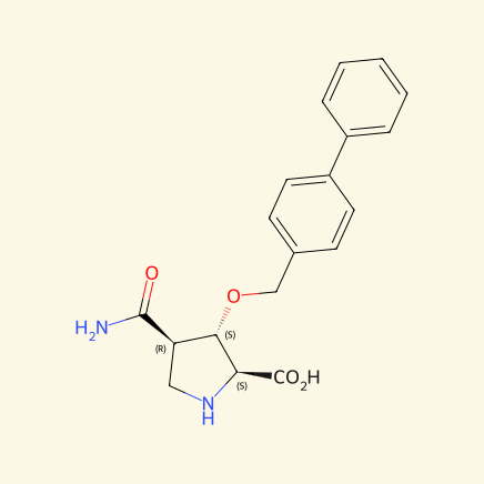 NC(=O)[C@@H]1CN[C@H](C(=O)O)[C@H]1OCc1ccc(-c2ccccc2)cc1